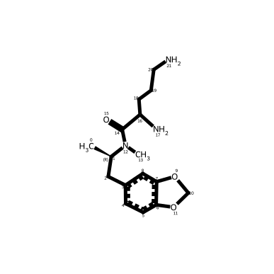 C[C@H](Cc1ccc2c(c1)OCO2)N(C)C(=O)C(N)CCCN